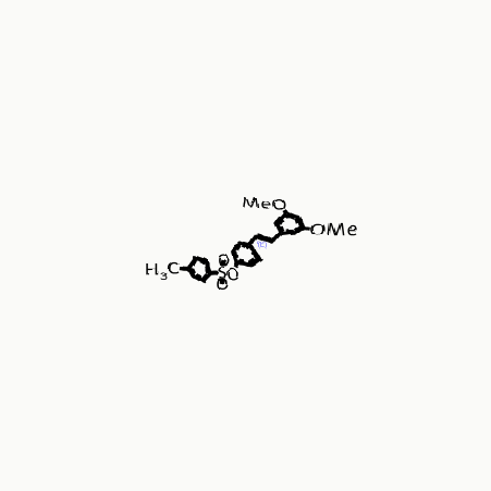 COc1cc(/C=C/c2ccc(OS(=O)(=O)c3ccc(C)cc3)cc2)cc(OC)c1